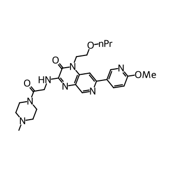 CCCOCCn1c(=O)c(NCC(=O)N2CCN(C)CC2)nc2cnc(-c3ccc(OC)nc3)cc21